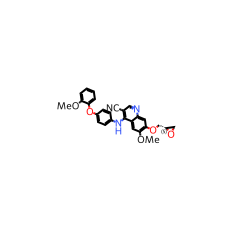 COc1cc2c(Nc3ccc(Oc4ccccc4OC)cc3)c(C#N)cnc2cc1OC[C@@H]1CO1